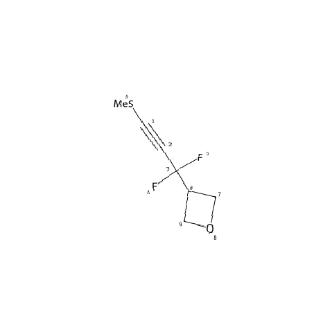 CSC#CC(F)(F)C1COC1